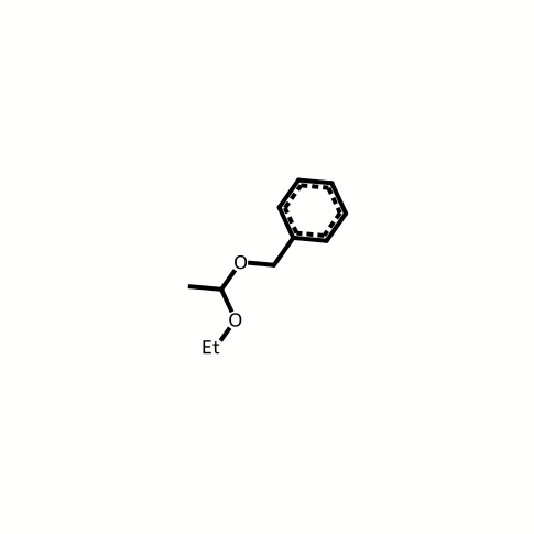 [CH2]COC(C)OCc1ccccc1